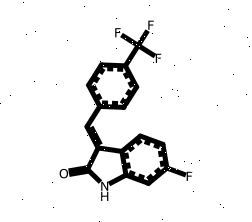 O=C1Nc2cc(F)ccc2/C1=C\c1ccc(C(F)(F)F)cc1